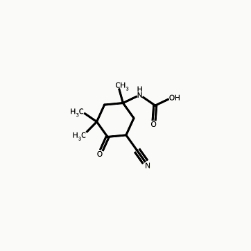 CC1(NC(=O)O)CC(C#N)C(=O)C(C)(C)C1